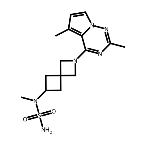 Cc1nc(N2CC3(CC(N(C)S(N)(=O)=O)C3)C2)c2c(C)ccn2n1